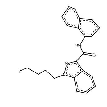 O=C(Nc1cccc2ccccc12)c1nn(CCCCI)c2ccccc12